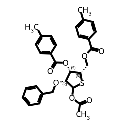 CC(=O)OC1S[C@@H](COC(=O)c2ccc(C)cc2)[C@@H](OC(=O)c2ccc(C)cc2)[C@H]1OCc1ccccc1